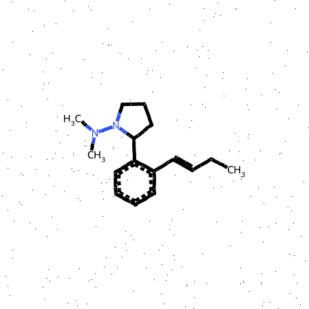 CC/C=C/c1ccccc1C1CCCN1N(C)C